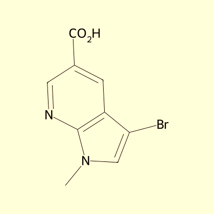 Cn1cc(Br)c2cc(C(=O)O)cnc21